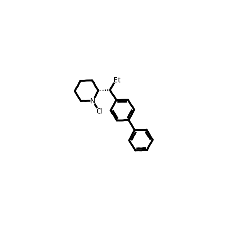 CCC(c1ccc(-c2ccccc2)cc1)[C@H]1CCCCN1Cl